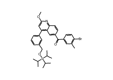 COc1cc(-c2cccc(CO[Si](C(C)C)(C(C)C)C(C)C)c2)c2cc(C(=O)c3ccc(Br)c(C)c3)ccc2n1